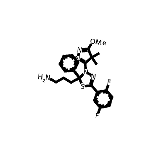 COC1=NN=C(N2N=C(c3cc(F)ccc3F)SC2(CCCN)c2ccccc2)C1(C)C